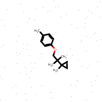 Cc1ccc(OCC(C)(C)C2(C)CC2)cc1